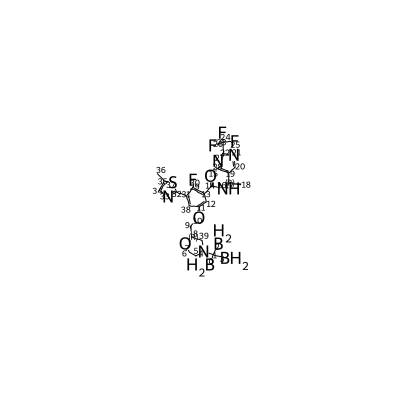 BC(B)(B)N1CCO[C@@H](COc2cc(C(=O)N[C@H](C)c3cnc(C(F)(F)F)nc3)c(F)c(-c3ncc(C)s3)c2)C1